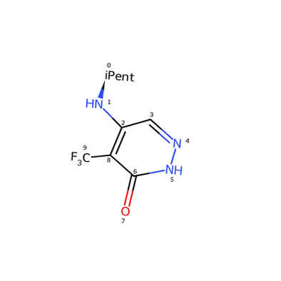 CCC[C@H](C)Nc1cn[nH]c(=O)c1C(F)(F)F